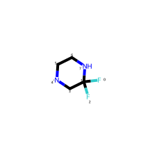 FC1(F)C[N]CCN1